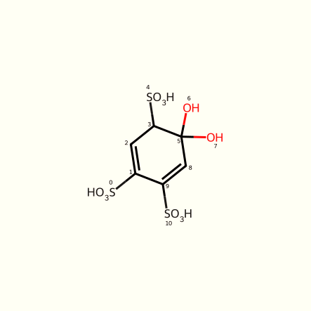 O=S(=O)(O)C1=CC(S(=O)(=O)O)C(O)(O)C=C1S(=O)(=O)O